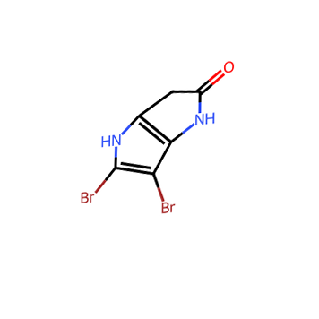 O=C1Cc2[nH]c(Br)c(Br)c2N1